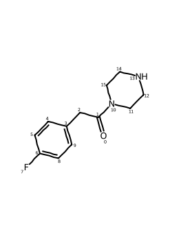 O=C(Cc1ccc(F)cc1)N1CCNCC1